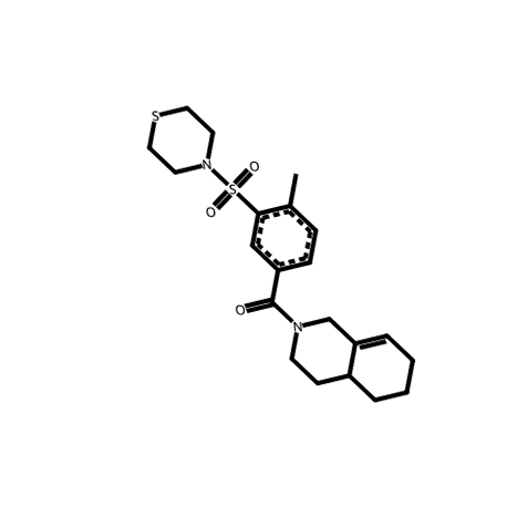 Cc1ccc(C(=O)N2CCC3CCCC=C3C2)cc1S(=O)(=O)N1CCSCC1